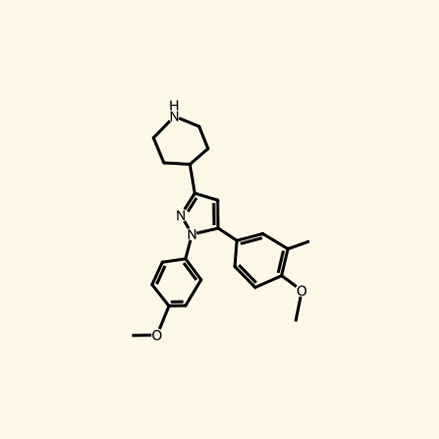 COc1ccc(-n2nc(C3CCNCC3)cc2-c2ccc(OC)c(C)c2)cc1